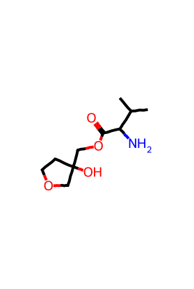 CC(C)C(N)C(=O)OCC1(O)CCOC1